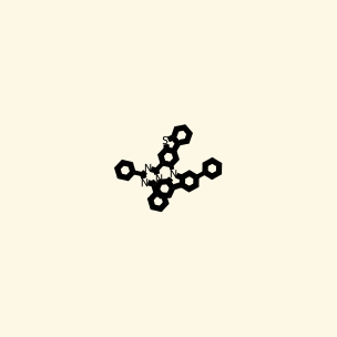 c1ccc(-c2ccc3c4ccccc4n(-c4cc5c(cc4-c4nc(-c6ccccc6)nc(-c6ccccc6)n4)sc4ccccc45)c3c2)cc1